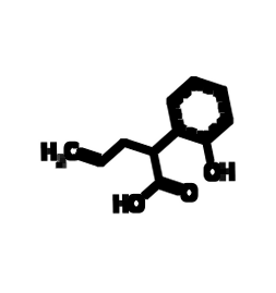 C=CCC(C(=O)O)c1ccccc1O